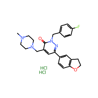 CN1CCN(Cc2cc(-c3ccc4c(c3)CCO4)nn(Cc3ccc(F)cc3)c2=O)CC1.Cl.Cl